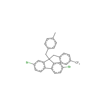 Cc1ccc(CC2(Cc3ccc(C(F)(F)F)cc3)c3cc(Br)ccc3-c3ccc(Br)cc32)cc1